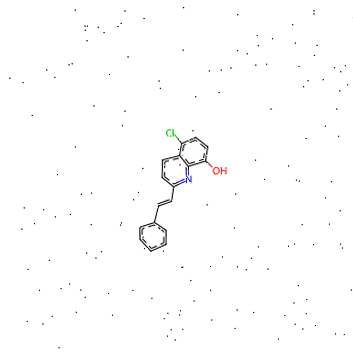 Oc1ccc(Cl)c2ccc(/C=C/c3ccccc3)nc12